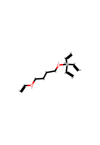 C=COCCCCO[Si](C=C)(C=C)C=C